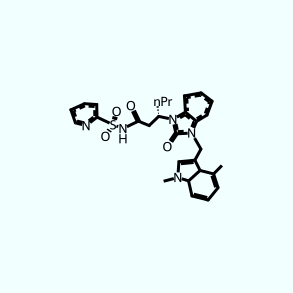 CCC[C@@H](CC(=O)NS(=O)(=O)c1ccccn1)n1c(=O)n(CC2=CN(C)C3C=CC=C(C)C23)c2ccccc21